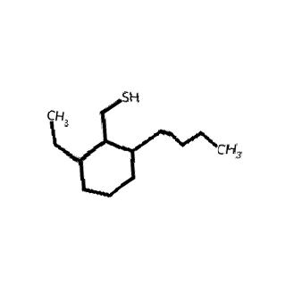 CCCCC1CCCC(CC)C1CS